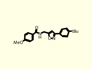 COc1ccc(C(=O)NCc2cc(-c3ccc(C(C)(C)C)cc3)no2)cc1